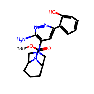 CC(C)(C)OC(=O)N1C2CCCC1CN(c1cc(-c3ccccc3O)nnc1N)C2